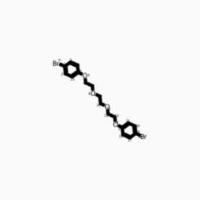 Brc1ccc(OCCOCCOCCOc2ccc(Br)cc2)cc1